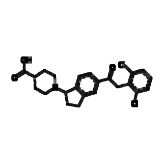 O=C(Cc1c(Cl)cccc1Cl)c1ccc2c(c1)CCC2N1CCC(C(=O)O)CC1